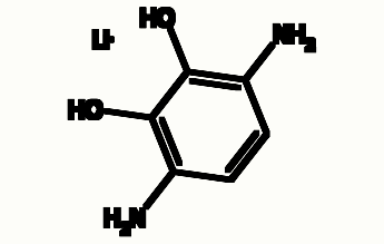 Nc1ccc(N)c(O)c1O.[Li]